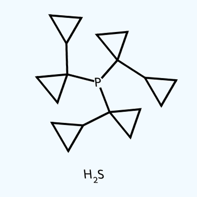 C1CC1C1(P(C2(C3CC3)CC2)C2(C3CC3)CC2)CC1.S